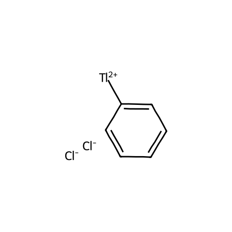 [Cl-].[Cl-].[Tl+2][c]1ccccc1